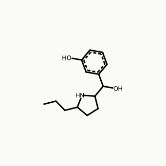 CCCC1CCC(C(O)c2cccc(O)c2)N1